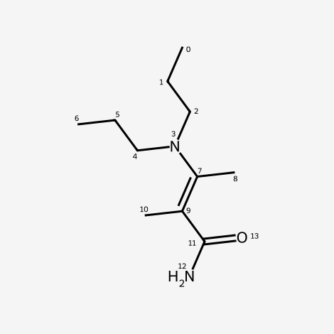 CCCN(CCC)/C(C)=C(\C)C(N)=O